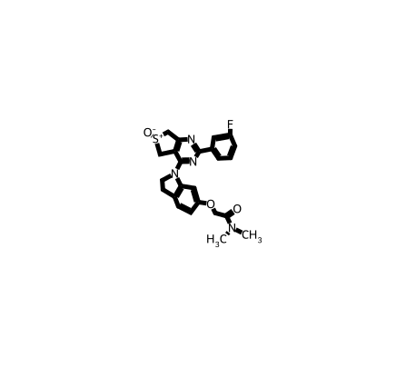 CN(C)C(=O)COc1ccc2c(c1)N(c1nc(-c3cccc(F)c3)nc3c1C[S+]([O-])C3)CC2